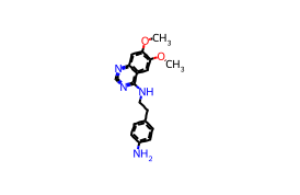 COc1cc2ncnc(NCCc3ccc(N)cc3)c2cc1OC